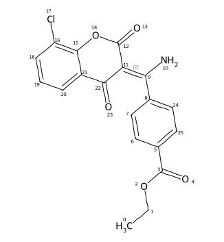 CCOC(=O)c1ccc(/C(N)=C2/C(=O)Oc3c(Cl)cccc3C2=O)cc1